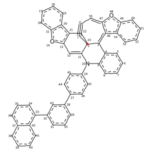 C1#CCC(c2ccccc2N(C2=Cc3oc4ccccc4c3CC2)c2ccc(-c3cccc(-c4cccc5ccccc45)c3)cc2)=c2c(oc3ccccc23)=C1